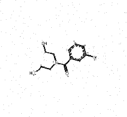 CCCN(CCO)C(=O)c1cncc(Br)c1